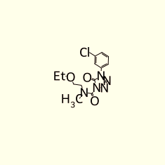 CCOCCN(C)C(=O)n1nnn(-c2cccc(Cl)c2)c1=O